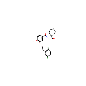 COc1ccc(C(=O)N[C@]2(C(=O)O)CC[C@H](C)CC2)cc1OCCc1cc(Cl)ccc1F